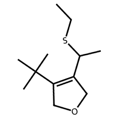 CCSC(C)C1=C(C(C)(C)C)COC1